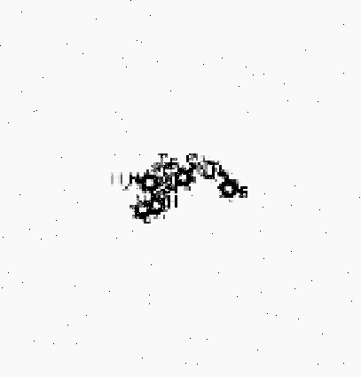 Nc1ccc(S(=O)(=O)Nc2ccc(C(=O)N3CCN(Cc4cccc(F)c4)CC3)cc2OC(F)(F)F)c(-c2cccc3cccnc23)c1